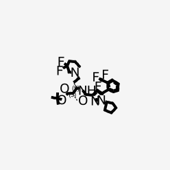 C[C@H](C(=O)OC(C)(C)C)[C@H](CCN1CCCC(F)(F)C1)NC(=O)c1cc(-c2ccccc2C(F)(F)F)n(C2CCCC2)n1